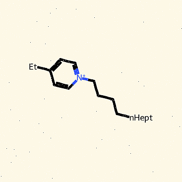 CCCCCCCCCCC[n+]1ccc(CC)cc1